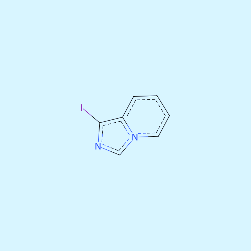 Ic1ncn2ccccc12